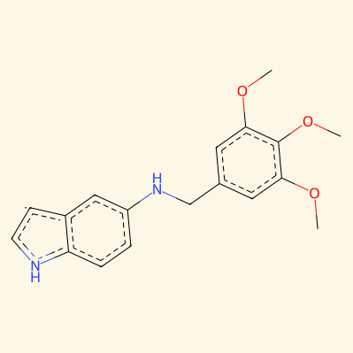 COc1cc(CNc2ccc3[nH]c[c]c3c2)cc(OC)c1OC